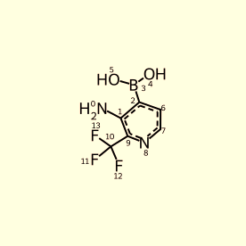 Nc1c(B(O)O)ccnc1C(F)(F)F